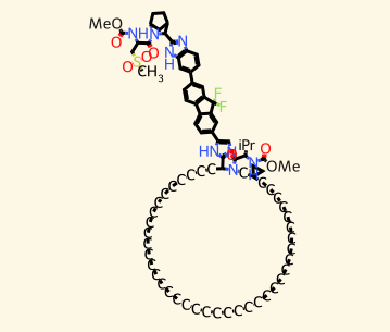 COC(=O)NC(CS(C)(=O)=O)C(=O)N1C2CCC(C2)C1c1nc2ccc(-c3ccc4c(c3)C(F)(F)c3cc(-c5cnc(C6CCCCCCCCCCCCCCCCCCCCCCCCCCCCCCCCCCCCCCC7(CC7)CN6C(=O)C(NC(=O)OC)C(C)C)[nH]5)ccc3-4)cc2[nH]1